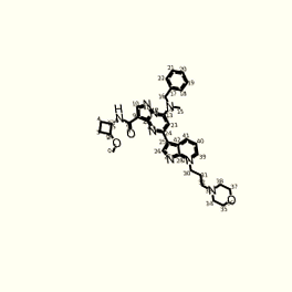 CO[C@H]1CC[C@@H]1NC(=O)c1cnn2c(N(C)Cc3ccccc3)cc(-c3cnc4n(CCCN5CCOCC5)cccc3-4)nc12